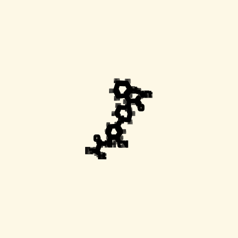 CCC(CC)C(=O)Nc1ccc(N2CCN(C(C(=O)N(CC)CC)c3ccccc3)CC2)cc1C#N